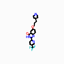 O=c1[nH]c(-c2ccc(C(F)(F)F)cn2)nc2ccc(OCCCc3ccncc3)cc12